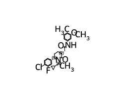 COc1cc(NC(=O)C[C@H]2CC[C@@H](c3ccc(Cl)c(F)c3)N([C@H](C)C3CC3)C2=O)ccc1C